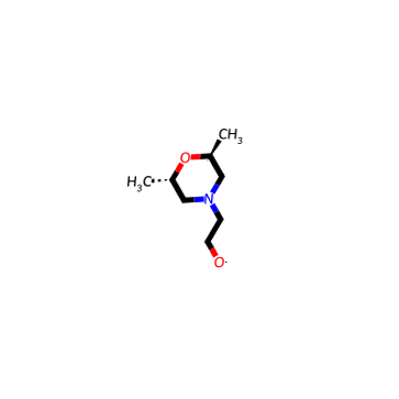 C[C@H]1CN(CC[O])C[C@H](C)O1